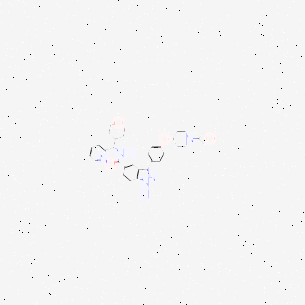 O=C(NC(c1ccccn1)C1CCOCC1)c1ccc2[nH]nc(-c3ccc(OC4CCN(C5COC5)CC4)cc3)c2c1